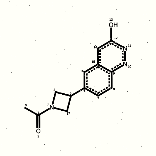 CC(=O)N1CC(c2ccc3nnc(O)cc3c2)C1